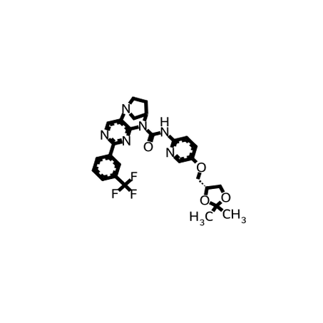 CC1(C)OC[C@@H](COc2ccc(NC(=O)N3c4nc(-c5cccc(C(F)(F)F)c5)ncc4N4CCC3C4)nc2)O1